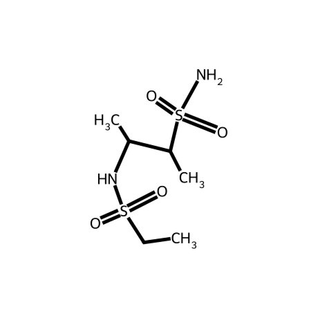 CCS(=O)(=O)NC(C)C(C)S(N)(=O)=O